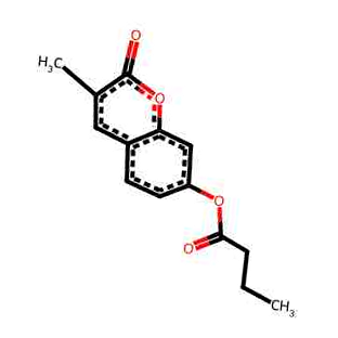 CCCC(=O)Oc1ccc2cc(C)c(=O)oc2c1